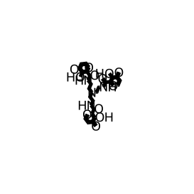 O=C(NCCN(CCNC(=O)c1occc(=O)c1O)CCNC(=O)c1occc(=O)c1O)c1occc(=O)c1O